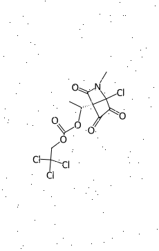 CC(OC(=O)OCC(Cl)(Cl)Cl)[C@@]12C(=O)C(=O)C1(Cl)N(C)C2=O